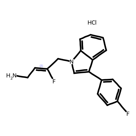 Cl.NC/C=C(\F)Cn1cc(-c2ccc(F)cc2)c2ccccc21